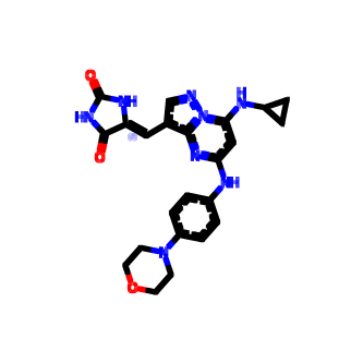 O=C1NC(=O)/C(=C/c2cnn3c(NC4CC4)cc(Nc4ccc(N5CCOCC5)cc4)nc23)N1